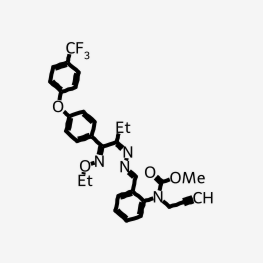 C#CCN(C(=O)OC)c1ccccc1C=NN=C(CC)C(=NOCC)c1ccc(Oc2ccc(C(F)(F)F)cc2)cc1